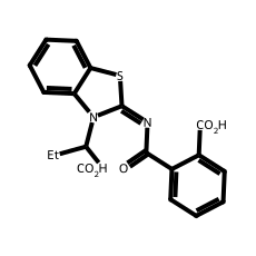 CCC(C(=O)O)n1/c(=N\C(=O)c2ccccc2C(=O)O)sc2ccccc21